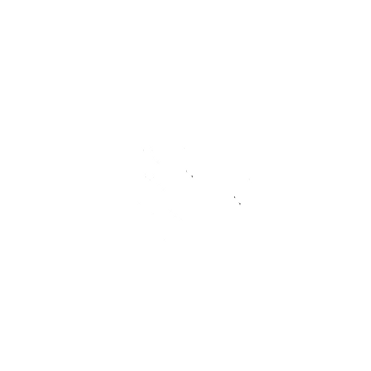 Cc1ccc(Cn2c(C(=O)O)ccc2-c2cccnc2)c2ccccc12